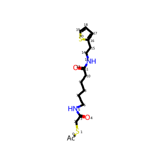 CC(=O)SCC(=O)NCCCCCC(=O)NCCc1cccs1